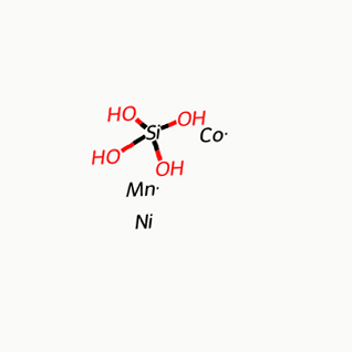 O[Si](O)(O)O.[Co].[Mn].[Ni]